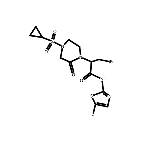 CC(C)CC(C(=O)Nc1ncc(F)s1)N1CCN(S(=O)(=O)C2CC2)CC1=O